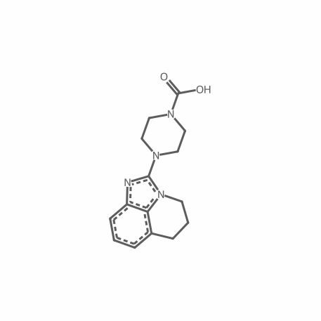 O=C(O)N1CCN(c2nc3cccc4c3n2CCC4)CC1